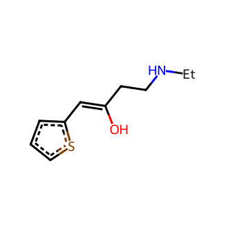 CCNCCC(O)=Cc1cccs1